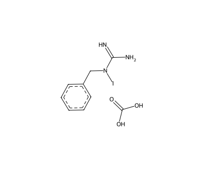 N=C(N)N(I)Cc1ccccc1.O=C(O)O